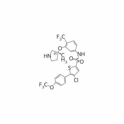 C[C@@]1(Oc2cc(NS(=O)(=O)c3cc(Cl)c(-c4ccc(OC(F)(F)F)cc4)s3)ccc2C(F)(F)F)CCNC1